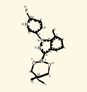 Cc1cccc2c(B3OCC(C)(C)CO3)nn(-c3ccc(F)nc3)c12